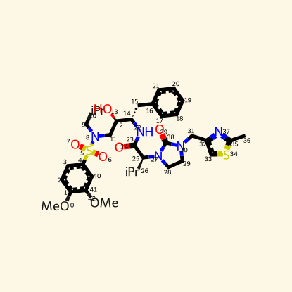 COc1ccc(S(=O)(=O)N(CC(C)C)C[C@@H](O)[C@H](Cc2ccccc2)NC(=O)[C@H](C(C)C)N2CCN(Cc3csc(C)n3)C2=O)cc1OC